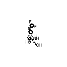 N=C(NCCO)c1c(O)nsc1Nc1ccc(Oc2cc(F)cc(F)c2)cc1